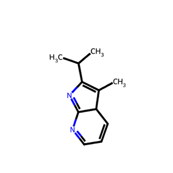 CC1=C(C(C)C)N=C2N=CC=CC21